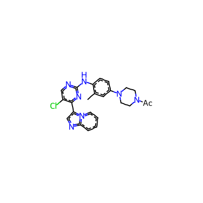 CC(=O)N1CCN(c2ccc(Nc3ncc(Cl)c(-c4cnc5ccccn45)n3)c(C)c2)CC1